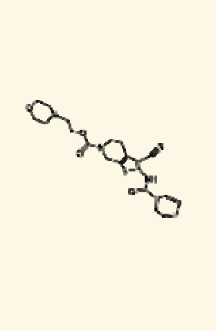 N#Cc1c(NC(=O)c2ccccc2)sc2c1CCN(C(=O)OCCN1CCOCC1)C2